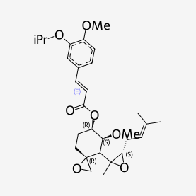 COc1ccc(/C=C/C(=O)O[C@@H]2CC[C@]3(CO3)C(C3(C)O[C@H]3CC=C(C)C)[C@@H]2OC)cc1OC(C)C